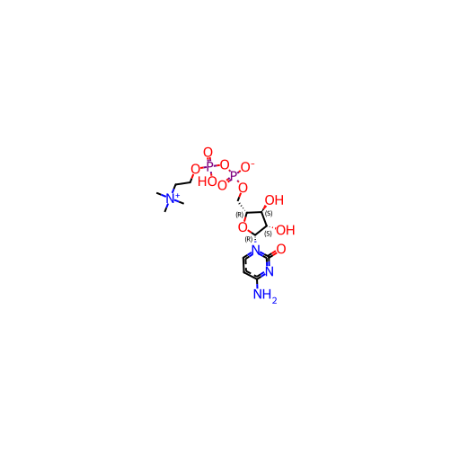 C[N+](C)(C)CCOP(=O)(O)OP(=O)([O-])OC[C@H]1O[C@@H](n2ccc(N)nc2=O)[C@@H](O)[C@@H]1O